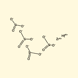 O=[Si]([O-])[O-].O=[Si]([O-])[O-].O=[Si]([O-])[O-].O=[Si]([O-])[O-].[Hf+4].[Zr+4]